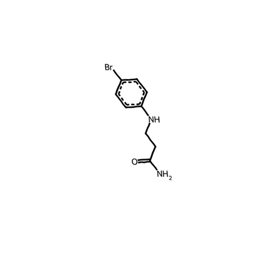 NC(=O)CCNc1ccc(Br)cc1